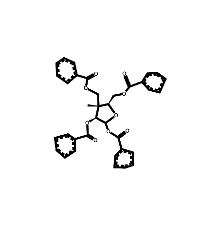 C[C@]1(COC(=O)c2ccccc2)[C@H](OC(=O)c2ccccc2)C(OC(=O)c2ccccc2)O[C@@H]1COC(=O)c1ccccc1